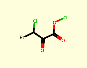 CCC(Cl)C(=O)C(=O)OCl